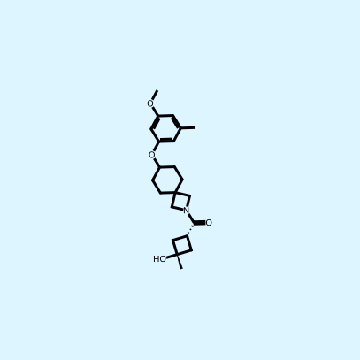 COc1cc(C)cc(OC2CCC3(CC2)CN(C(=O)[C@H]2C[C@@](C)(O)C2)C3)c1